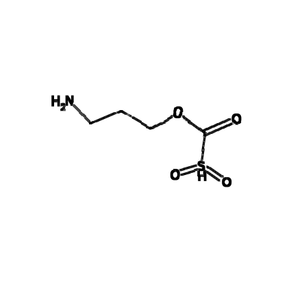 NCCCOC(=O)[SH](=O)=O